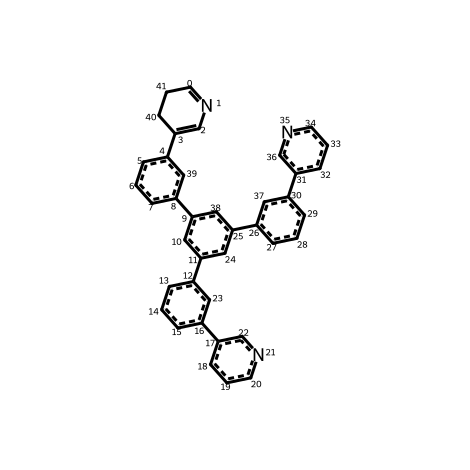 C1=NC=C(c2cccc(-c3cc(-c4cccc(-c5cccnc5)c4)cc(-c4cccc(-c5cccnc5)c4)c3)c2)CC1